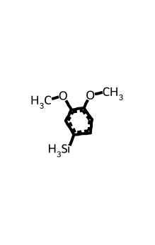 COc1ccc([SiH3])cc1OC